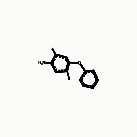 Cc1cc(Oc2c[c]ccc2)c(C)cc1N